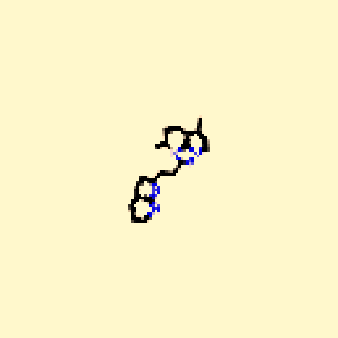 C=C(C)/C=C\c1c(C)ccn2nc(CCc3ccc4cccnc4n3)nc12